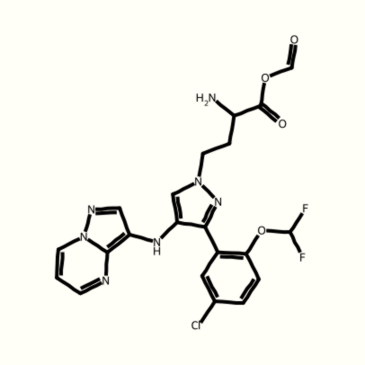 NC(CCn1cc(Nc2cnn3cccnc23)c(-c2cc(Cl)ccc2OC(F)F)n1)C(=O)OC=O